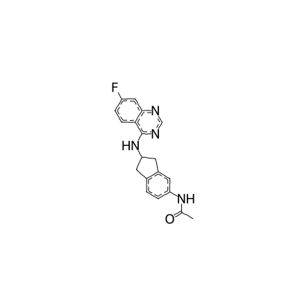 CC(=O)Nc1ccc2c(c1)CC(Nc1ncnc3cc(F)ccc13)C2